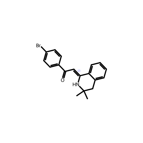 CC1(C)Cc2ccccc2/C(=C/C(=O)c2ccc(Br)cc2)N1